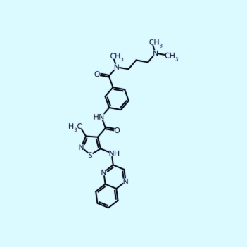 Cc1nsc(Nc2cnc3ccccc3n2)c1C(=O)Nc1cccc(C(=O)N(C)CCCN(C)C)c1